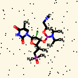 [C-]#[N+]CCOP(O[C@H]1[C@@H](F)[C@H](n2cc(C)c(=O)[nH]c2=O)O[C@@H]1[C@@H](C)CP(C)(C)=O)N(C(C)C)C(C)C